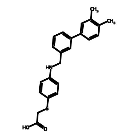 Cc1ccc(-c2cccc(CNc3ccc(SCC(=O)O)cc3)c2)cc1C